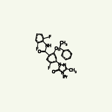 Cc1nn(-c2cc(O[C@@H](C)c3ccccc3)c(C(=O)Nc3c(F)cccc3F)cc2F)c(=O)n1C(C)C